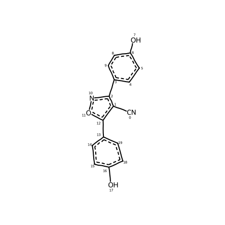 N#Cc1c(-c2ccc(O)cc2)noc1-c1ccc(O)cc1